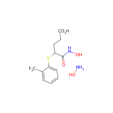 NO.O=C(O)CCC(Sc1ccccc1C(F)(F)F)C(=O)NO